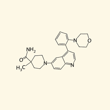 CC1(C(N)=O)CCN(c2ccc3nccc(-c4ccccc4N4CCOCC4)c3c2)CC1